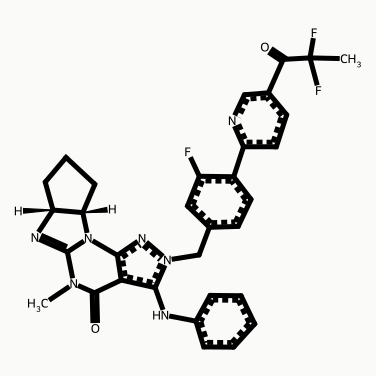 CN1C(=O)c2c(nn(Cc3ccc(-c4ccc(C(=O)C(C)(F)F)cn4)c(F)c3)c2Nc2ccccc2)N2C1=N[C@@H]1CCC[C@@H]12